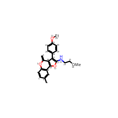 C=C1Oc2ccc(C)cc2-c2oc(NCCOC)c(-c3ccc(OCC)cc3)c21